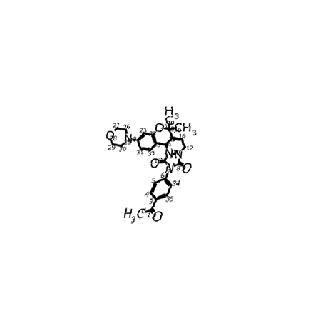 CC(=O)c1ccc(-n2c(=O)n3n(c2=O)C2C(=CC3)C(C)(C)Oc3cc(N4CCOCC4)ccc32)cc1